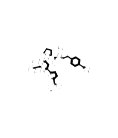 COC(=O)c1ccc(-c2cc(N3CCC[C@H]3C(=O)NCCc3ccc(C#N)cc3)nc(C(F)(F)F)n2)s1